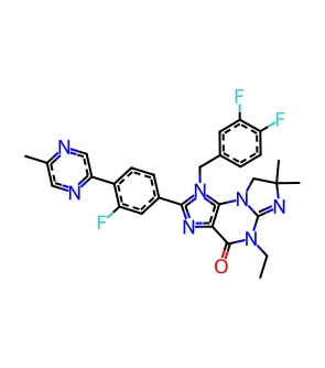 CCN1C(=O)c2nc(-c3ccc(-c4cnc(C)cn4)c(F)c3)n(Cc3ccc(F)c(F)c3)c2N2CC(C)(C)N=C12